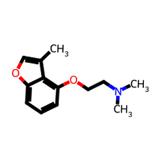 Cc1coc2cccc(OCCN(C)C)c12